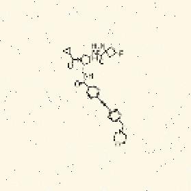 NC1(C(=O)N[C@@H]2C[C@H](CNC(=O)c3ccc(C#Cc4ccc(CN5CCOCC5)cc4)cc3)N(C(=O)C3CC3)C2)CC(F)C1